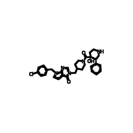 O=C(N1CCC(Cn2cnc3c(ccn3Cc3ccc(Cl)cc3)c2=O)CC1)[C@@]1(O)CCNC[C@H]1c1ccccc1